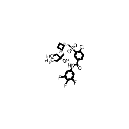 CC[C@@](O)(CO)C[C@@H]1CC[C@@H]1CS(=O)(=O)c1cc(C(=O)Nc2cc(F)c(F)c(F)c2)ccc1Cl